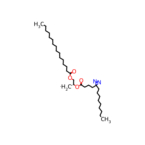 [CH2][C@H](COC(=O)CCCCCCCCCCCCCCC)OC(=O)CCCC1(CCCCCCCCC)N=N1